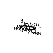 CC[C@H]1[C@@H](O)C2C3CC[C@H]([C@H](C)CC(CF)C(=O)O)[C@@]3(C)[C@@H](O)CC2[C@@]2(C)CC[C@@H](O)C[C@@H]12